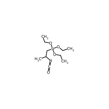 CCO[Si](CC(C)N=C=O)(OCC)OCC